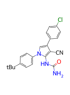 CC(C)(C)c1ccc(-n2cc(-c3ccc(Cl)cc3)c(C#N)c2NC(N)=O)cc1